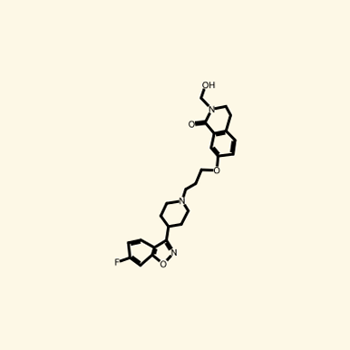 O=C1c2cc(OCCCN3CCC(c4noc5cc(F)ccc45)CC3)ccc2CCN1CO